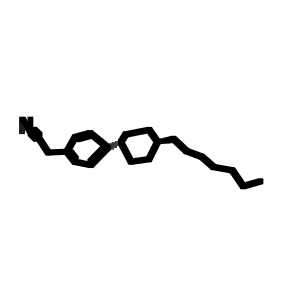 CCCCCCC[C@H]1CC[C@H](c2ccc(CC#N)cc2)CC1